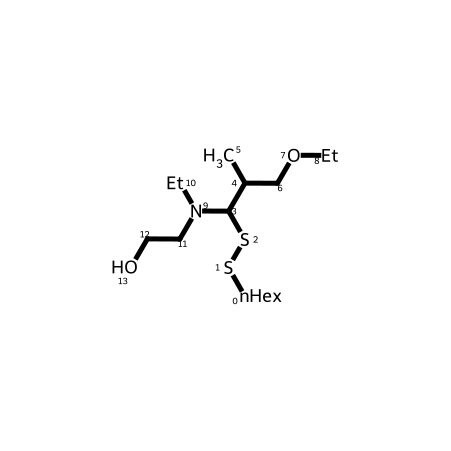 CCCCCCSSC(C(C)COCC)N(CC)CCO